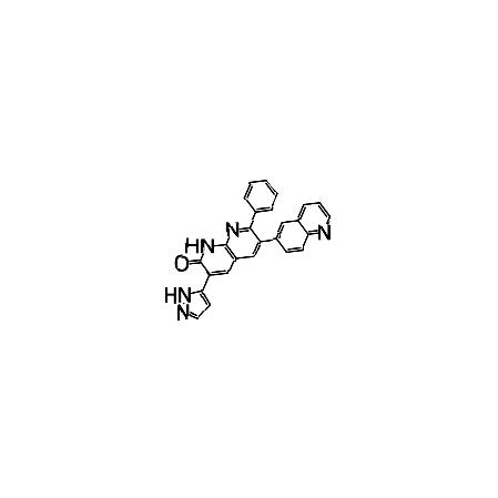 O=c1[nH]c2nc(-c3ccccc3)c(-c3ccc4ncccc4c3)cc2cc1-c1ccn[nH]1